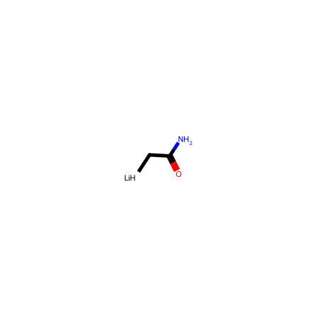 CCC(N)=O.[LiH]